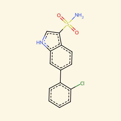 NS(=O)(=O)c1c[nH]c2cc(-c3ccccc3Cl)ccc12